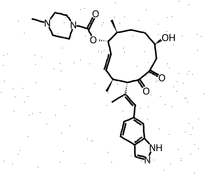 C/C(=C\c1ccc2cn[nH]c2c1)[C@H]1C(=O)C(=O)C[C@H](O)CC[C@H](C)[C@@H](OC(=O)N2CCN(C)CC2)/C=C/[C@@H]1C